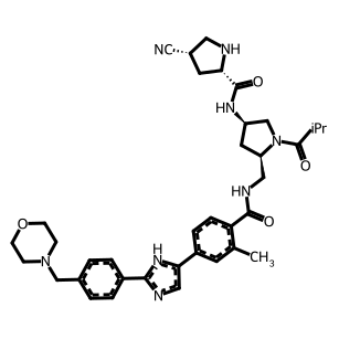 Cc1cc(-c2cnc(-c3ccc(CN4CCOCC4)cc3)[nH]2)ccc1C(=O)NC[C@H]1C[C@@H](NC(=O)[C@@H]2C[C@H](C#N)CN2)CN1C(=O)C(C)C